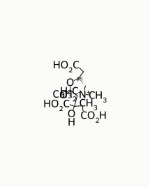 C[N+](C)(C)C[C@@H](CC(=O)O)OC(=O)CC(O)(CC(=O)O)C(=O)O.[CaH2]